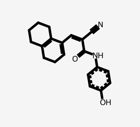 N#CC(=CC1=CCCC2=C1CCCC2)C(=O)Nc1ccc(O)cc1